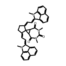 CN1C(=O)C2C(C(=O)N(C)C1=O)C21/C(=C\C=c2\c3cccc4cccc(c43)n2C)CC/C1=C/C=c1/c2cccc3cccc(c32)n1C